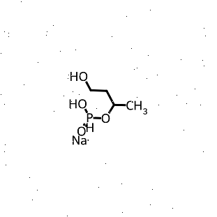 CC(CCO)O[PH](=O)O.[Na]